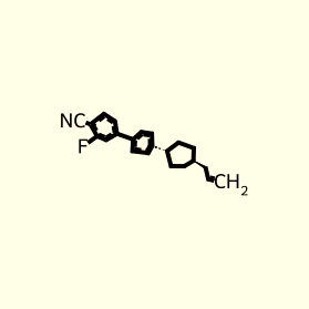 C=CC[C@H]1CC[C@H](c2ccc(-c3ccc(C#N)c(F)c3)cc2)CC1